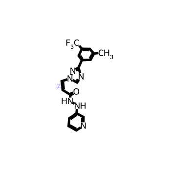 Cc1cc(-c2ncn(/C=C\C(=O)NNc3cccnc3)n2)cc(C(F)(F)F)c1